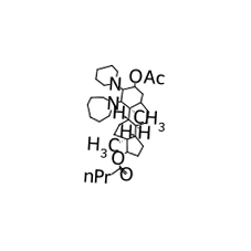 CCCC(=O)OC1CC[C@H]2[C@@H]3CCC4CC(OC(C)=O)C(N5CCCCC5)C(N5CCCCCC5)[C@]4(C)[C@H]3CC[C@]12C